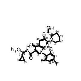 C[C@@H](NC(=O)c1cn(-c2c(F)cc(F)cc2F)c2nc(N3CCCC[C@H]3CO)c(F)cc2c1=O)C1CC1